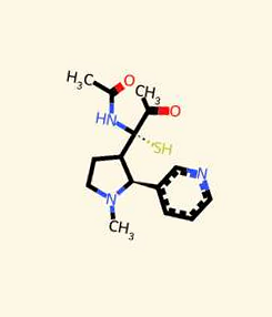 CC(=O)N[C@@](S)(C(C)=O)C1CCN(C)[C@@H]1c1cccnc1